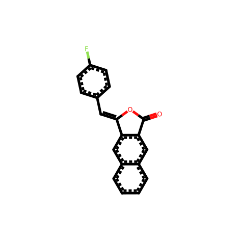 O=C1OC(=Cc2ccc(F)cc2)c2cc3ccccc3cc21